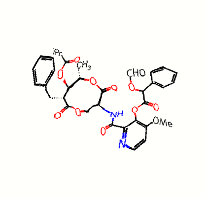 COc1ccnc(C(=O)N[C@H]2COC(=O)[C@H](Cc3ccccc3)[C@@H](OC(=O)C(C)C)[C@H](C)OC2=O)c1OC(=O)C(OC=O)c1ccccc1